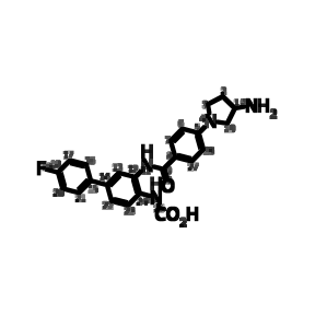 NC1CCN(c2ccc(C(=O)Nc3cc(-c4ccc(F)cc4)ccc3NC(=O)O)cc2)C1